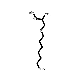 CCCCCCCCCCCCCCCCSCC(NCCC)C(=O)O